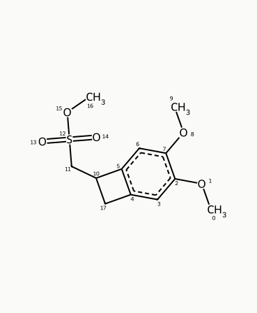 COc1cc2c(cc1OC)C(CS(=O)(=O)OC)C2